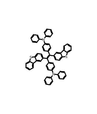 c1ccc(N(c2ccccc2)c2ccc(/C(=C(/c3ccc(N(c4ccccc4)c4ccccc4)cc3)c3ccc4sc5ccccc5c4c3)c3ccc4sc5ccccc5c4c3)cc2)cc1